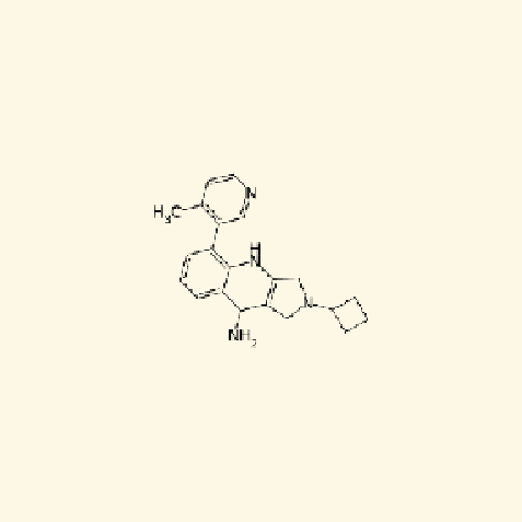 Cc1ccncc1-c1cccc2c1NC1=C(CN(C3CCC3)C1)C2N